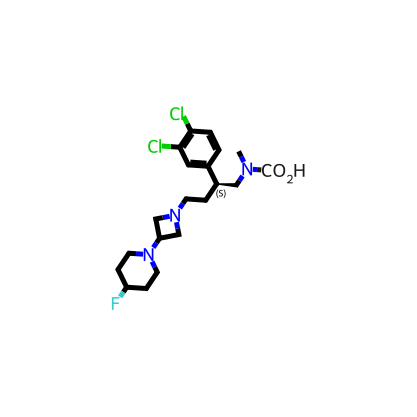 CN(C[C@@H](CCN1CC(N2CCC(F)CC2)C1)c1ccc(Cl)c(Cl)c1)C(=O)O